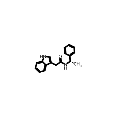 C[C@H](NC(=O)Cc1c[nH]c2ccccc12)c1ccccc1